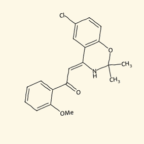 COc1ccccc1C(=O)/C=C1\NC(C)(C)Oc2ccc(Cl)cc21